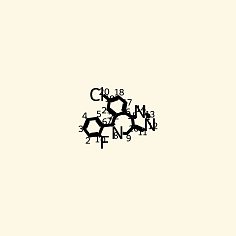 Fc1ccccc1C1=NCc2cn[c]nc2-c2ccc(Cl)cc21